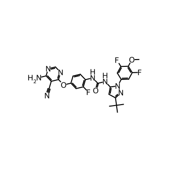 COc1c(F)cc(-n2nc(C(C)(C)C)cc2NC(=O)Nc2ccc(Oc3ncnc(N)c3C#N)cc2F)cc1F